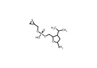 BC1CC(C(C)C)C(COP(=O)(O)OCC2CS2)O1